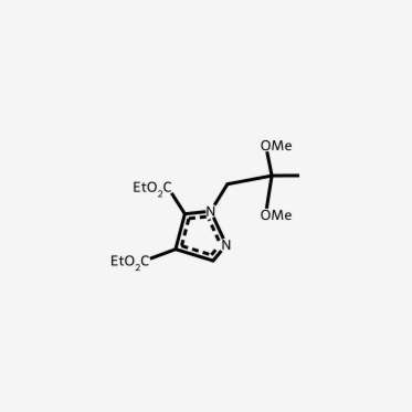 CCOC(=O)c1cnn(CC(C)(OC)OC)c1C(=O)OCC